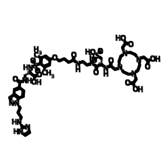 Cc1cc(OCCCC(=O)NCCNC(=O)[C@H](CS(=O)(=O)O)NC(=O)CN2CCN(CC(=O)O)CCN(CC(=O)O)CCN(CC(=O)O)CC2)cc(C)c1S(=O)(=O)N[C@@H](CNC(=O)c1ccc2c(cnn2CCCNc2ncc[nH]2)c1)C(=O)O